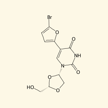 O=c1[nH]c(=O)n([C@@H]2CO[C@H](CO)O2)cc1-c1ccc(Br)o1